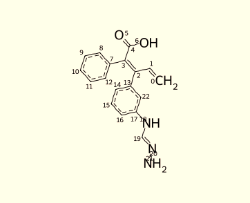 C=CC(=C(C(=O)O)c1ccccc1)c1cccc(NC=NN)c1